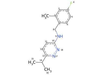 Cc1cc(F)ccc1CNc1ccc(C(C)C)nn1